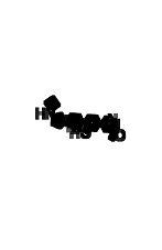 CC(=O)c1cc(-c2ccc(-c3ccc(N4CCC(NC5CCC5)C4)nn3)c(O)c2)cnn1